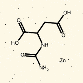 NC(=O)NC(CC(=O)O)C(=O)O.[Zn]